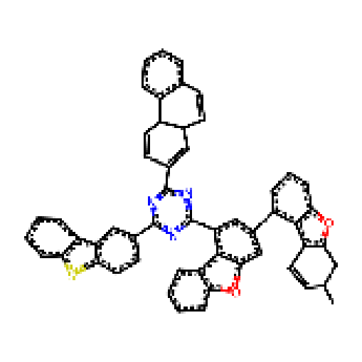 CC1C=Cc2c(oc3cccc(-c4cc(-c5nc(C6=CC7C=Cc8ccccc8C7C=C6)nc(-c6ccc7sc8ccccc8c7c6)n5)c5c(c4)oc4ccccc45)c23)C1